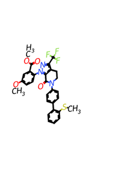 COC(=O)c1cc(OC)ccc1-n1nc(C(F)(F)F)c2c1C(=O)N(c1ccc(-c3ccccc3SC)cc1)CC2